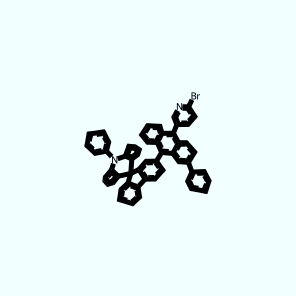 Brc1ccc(-c2c3ccccc3c(-c3ccc4c(c3)C3(c5ccccc5-4)c4ccccc4N(c4ccccc4)c4ccccc43)c3cc(-c4ccccc4)ccc23)cn1